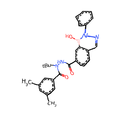 Cc1cc(C)cc(C(=O)N(NC(=O)c2ccc3c(c2)B(O)N(c2ccccc2)N=C3)C(C)(C)C)c1